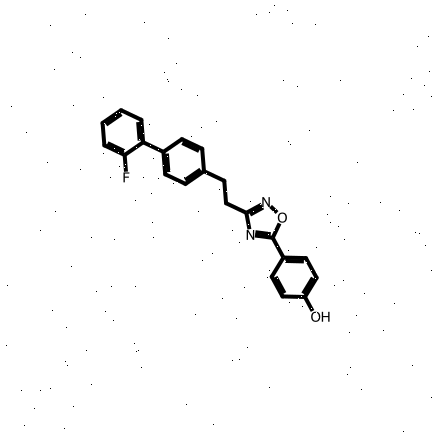 Oc1ccc(-c2nc(CCc3ccc(-c4ccccc4F)cc3)no2)cc1